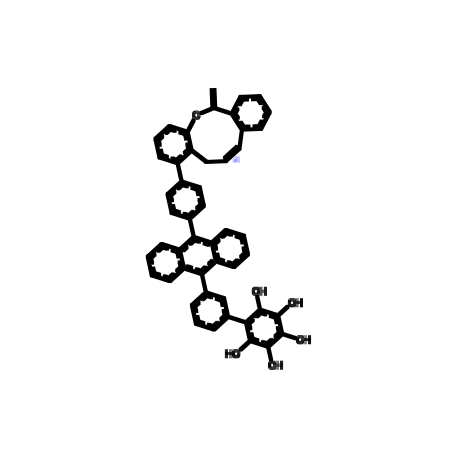 C=C1Oc2cccc(-c3ccc(-c4c5ccccc5c(-c5cccc(-c6c(O)c(O)c(O)c(O)c6O)c5)c5ccccc45)cc3)c2C/C=C\c2ccccc21